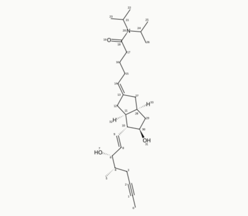 CC#CC[C@H](C)[C@H](O)/C=C/[C@@H]1[C@H]2C/C(=C/CCCC(=O)N(C(C)C)C(C)C)C[C@H]2C[C@H]1O